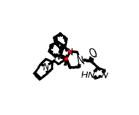 Cc1nc2ccccc2n1C1CC2CCC(C1)N2CCC1(c2ccccc2)CCN(C(=O)c2cnc[nH]2)CC1